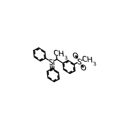 CC(c1cccc(S(C)(=O)=O)c1)[SiH](c1ccccc1)c1ccccc1